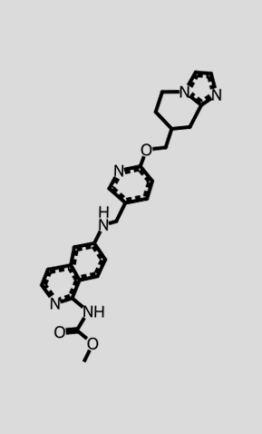 COC(=O)Nc1nccc2cc(NCc3ccc(OCC4CCn5ccnc5C4)nc3)ccc12